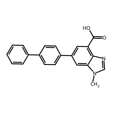 Cn1cnc2c(C(=O)O)cc(-c3ccc(-c4ccccc4)cc3)cc21